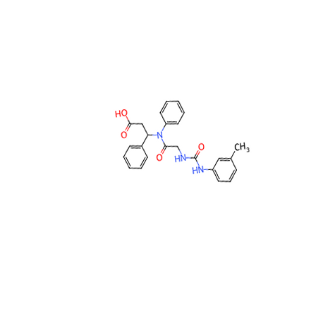 Cc1cccc(NC(=O)NCC(=O)N(c2ccccc2)C(CC(=O)O)c2ccccc2)c1